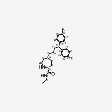 CCNC(=O)N1CCN(CCCC(c2ccc(F)cc2)c2ccc(F)cc2)CCN1